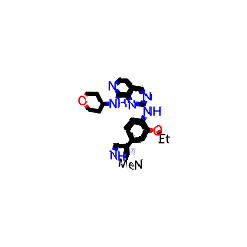 CCOc1cc(/C(C=N)=C/NC)ccc1Nc1ncc2ccnc(NC3CCOCC3)c2n1